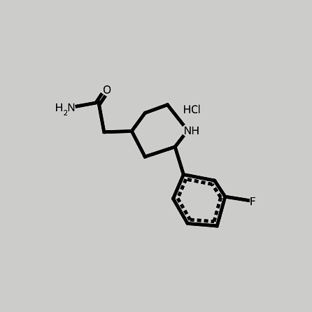 Cl.NC(=O)CC1CCNC(c2cccc(F)c2)C1